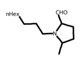 CCCCCCCCCN1C(C)CCC1C=O